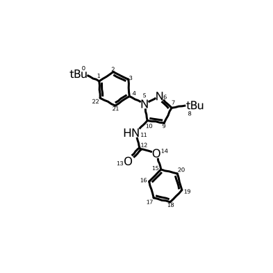 CC(C)(C)c1ccc(-n2nc(C(C)(C)C)cc2NC(=O)Oc2ccccc2)cc1